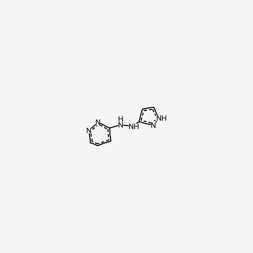 c1cnnc(NNc2cc[nH]n2)c1